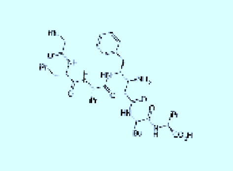 CC[C@H](C)[C@H](NC(=O)C[C@H](N)[C@H](Cc1ccccc1)NC(=O)[C@@H](NC(=O)[C@H](CC(C)C)NC(=O)CC(C)(C)C)C(C)C)C(=O)N[C@H](C(=O)O)C(C)C